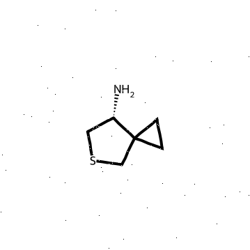 N[C@H]1CSCC12CC2